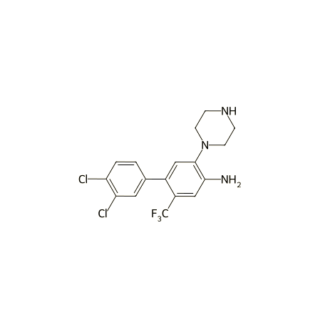 Nc1cc(C(F)(F)F)c(-c2ccc(Cl)c(Cl)c2)cc1N1CCNCC1